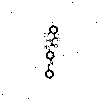 O=C(NC(=O)c1ccccc1Cl)Nc1ccc(N=Cc2ccccc2)cc1